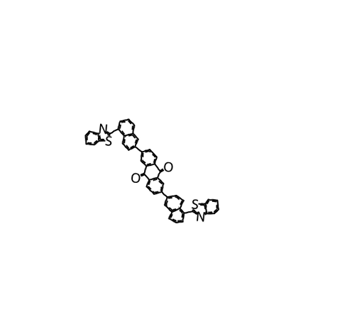 O=C1c2ccc(-c3ccc4c(-c5nc6ccccc6s5)cccc4c3)cc2C(=O)c2ccc(-c3ccc4c(-c5nc6ccccc6s5)cccc4c3)cc21